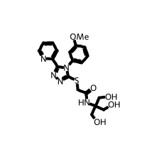 COc1cccc(-n2c(SCC(=O)NC(CO)(CO)CO)nnc2-c2ccccn2)c1